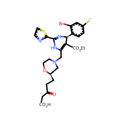 CCOC(=O)C1=C(CN2CCO[C@H](CCC(=O)CC(=O)O)C2)NC(c2nccs2)=N[C@H]1c1ccc(F)cc1Br